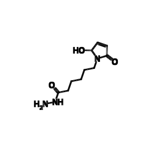 NNC(=O)CCCCCN1C(=O)C=CC1O